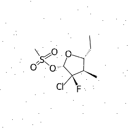 CC[C@H]1O[C@@H](OS(C)(=O)=O)[C@@](F)(Cl)[C@@H]1C